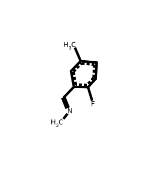 C/N=C/c1cc(C)ccc1F